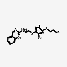 CCCCSc1cc(Br)c(SCCNc2ncc3ccccc3n2)cc1C